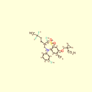 CC(F)(F)CC[C@@H]1CN(c2cccc(F)c2)c2cc(C(F)(F)F)c(OCC3(C(=O)O)CC3)cc2S(=O)(=O)[C@@H]1F